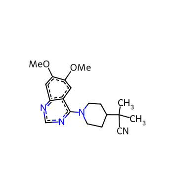 COc1cc2ncnc(N3CCC(C(C)(C)C#N)CC3)c2cc1OC